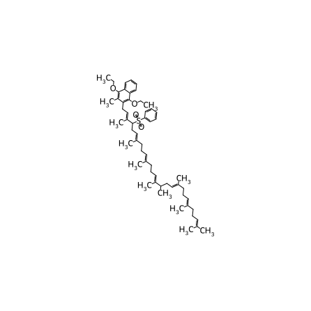 CCOc1c(C)c(C/C=C(\C)C(C/C=C(\C)CC/C=C(\C)CC/C=C(\C)C(C)C/C=C(\C)CC/C=C(\C)CCC=C(C)C)S(=O)(=O)c2ccccc2)c(OCC)c2ccccc12